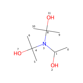 CC(O)N(C(C)(C)O)C(C)(C)O